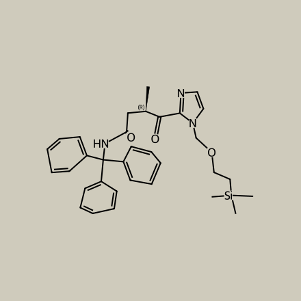 C[C@H](CC(=O)NC(c1ccccc1)(c1ccccc1)c1ccccc1)C(=O)c1nccn1COCC[Si](C)(C)C